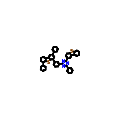 c1ccc(-c2cc(-c3cccc(-c4nc(-c5ccccc5)nc(-c5ccc6sc7ccccc7c6c5)n4)c3)c3sc4c(-c5ccccc5)cccc4c3c2)cc1